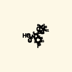 CC1(C)OB(C2=CN(C(=O)O)C3CC(F)=CC=C23)OC1(C)C